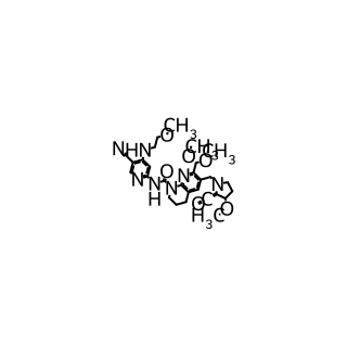 COCCNc1cc(NC(=O)N2CCCc3cc(CN4CC[C@@H](OC)C4=C=O)c(C(OC)OC)nc32)ncc1C#N